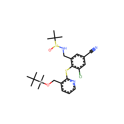 CC(C)(C)[S+]([O-])NCc1cc(C#N)cc(Cl)c1Sc1ncccc1CO[Si](C)(C)C(C)(C)C